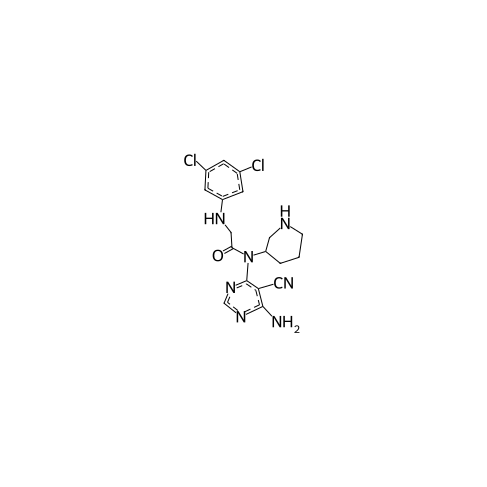 N#Cc1c(N)ncnc1N(C(=O)CNc1cc(Cl)cc(Cl)c1)C1CCCNC1